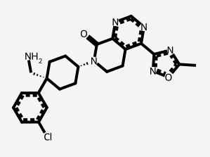 Cc1nc(-c2ncnc3c2CCN([C@H]2CC[C@](CN)(c4cccc(Cl)c4)CC2)C3=O)no1